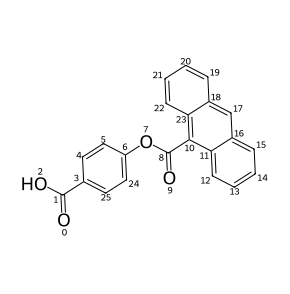 O=C(O)c1ccc(OC(=O)c2c3ccccc3cc3ccccc23)cc1